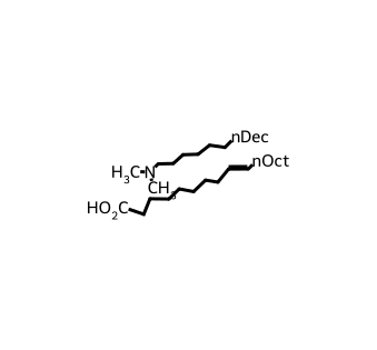 CCCCCCCCC=CCCCCCCCC(=O)O.CCCCCCCCCCCCCCCCN(C)C